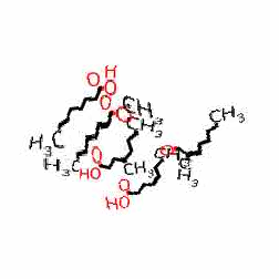 CCC/C=C\CCC(=O)O.CCCCC(C)CCC(=O)O.CCCCCC=C(C)C=O.CCCCCC=CC(=O)OC.CCCCCCCC(=O)O